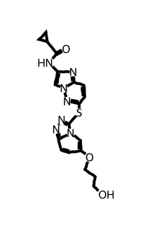 O=C(Nc1cn2nc(Sc3nnc4ccc(OCCCO)cn34)ccc2n1)C1CC1